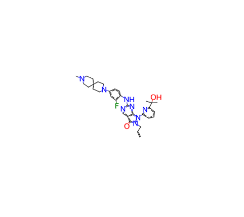 C=CCn1c(=O)c2cnc(Nc3ccc(N4CCC5(CCN(C)CC5)CC4)cc3F)nc2n1-c1cccc(C(C)(C)O)n1